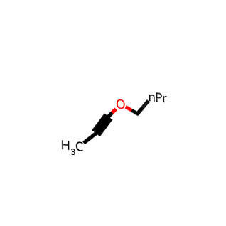 [CH2]CCCOC#CC